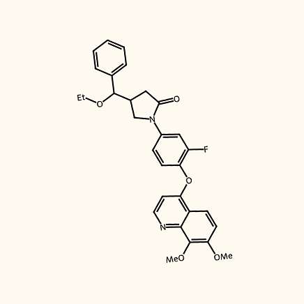 CCOC(c1ccccc1)C1CC(=O)N(c2ccc(Oc3ccnc4c(OC)c(OC)ccc34)c(F)c2)C1